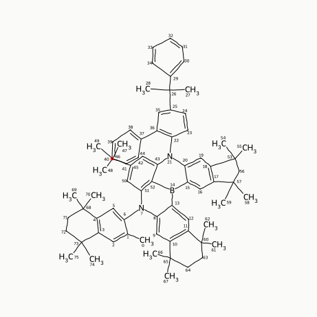 Cc1cc2c(cc1N1c3cc4c(cc3B3c5cc6c(cc5N(c5ccc(C(C)(C)c7ccccc7)cc5-c5ccccc5)c5cc(C(C)(C)C)cc1c53)C(C)(C)CC6(C)C)C(C)(C)CCC4(C)C)C(C)(C)CCC2(C)C